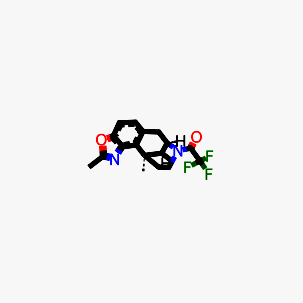 Cc1nc2c3c(ccc2o1)C[C@@H]1[C@@H](C)[C@@]3(C)CCN1C(=O)C(F)(F)F